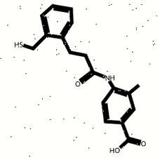 Cc1cc(C(=O)O)ccc1NC(=O)CCc1ccccc1CS